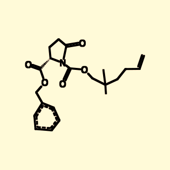 C=CCCC(C)(C)COC(=O)N1C(=O)CC[C@H]1C(=O)OCc1ccccc1